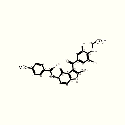 COc1ccc(C(=O)NC2C=Cc3oc(C(C)C)c(C(=O)c4cc(I)c(OCC(=O)O)c(I)c4)c3C2=O)cc1